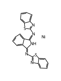 [Ni].c1ccc2c(c1)/C(=N/c1nc3ccccc3s1)N/C2=N/c1nc2ccccc2s1